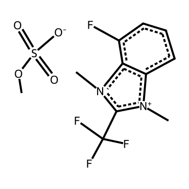 COS(=O)(=O)[O-].Cn1c(C(F)(F)F)[n+](C)c2cccc(F)c21